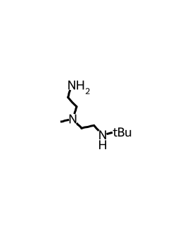 CN(CCN)CCNC(C)(C)C